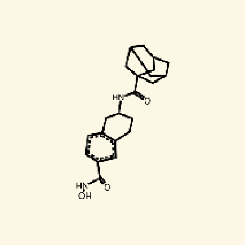 O=C(NO)c1ccc2c(c1)CCC(NC(=O)C13CC4CC(CC(C4)C1)C3)C2